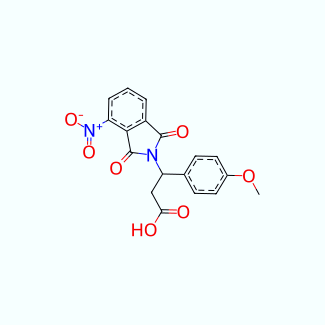 COc1ccc(C(CC(=O)O)N2C(=O)c3cccc([N+](=O)[O-])c3C2=O)cc1